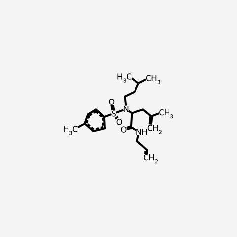 C=CCNC(=O)C(CC(=C)C)N(CCC(C)C)S(=O)(=O)c1ccc(C)cc1